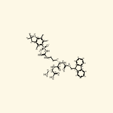 Cc1c(C)c(S(=O)(=O)NC(=N)NCCC[C@H](NC(=O)OCC2c3ccccc3-c3ccccc32)C(=O)N[C@@H](CO)C(=O)O)c(C)c2c1OC(C)(C)C2